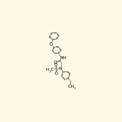 CCc1ccc(N(CC(=O)Nc2ccc(Oc3ccccc3)cc2)S(C)(=O)=O)cc1